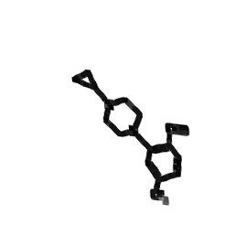 O=Cc1ccc(C(F)(F)F)cc1N1CCN(C2CC2)CC1